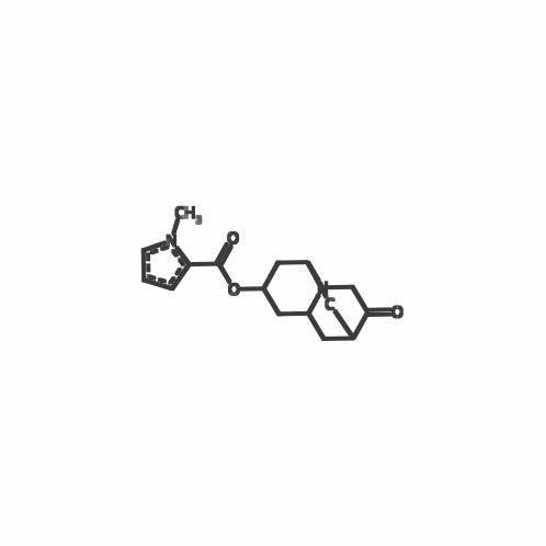 Cn1cccc1C(=O)OC1CC2CC3CC(C1)N2CC3=O